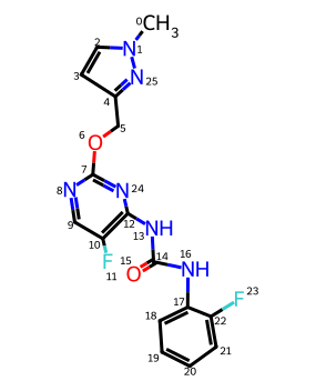 Cn1ccc(COc2ncc(F)c(NC(=O)Nc3ccccc3F)n2)n1